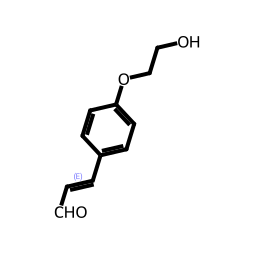 O=C/C=C/c1ccc(OCCO)cc1